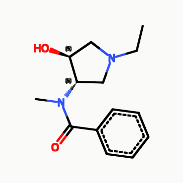 CCN1C[C@H](O)[C@@H](N(C)C(=O)c2ccccc2)C1